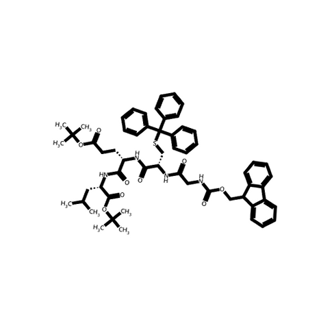 CC(C)C[C@H](NC(=O)[C@H](CCC(=O)OC(C)(C)C)NC(=O)[C@H](CSC(c1ccccc1)(c1ccccc1)c1ccccc1)NC(=O)CNC(=O)OCC1c2ccccc2-c2ccccc21)C(=O)OC(C)(C)C